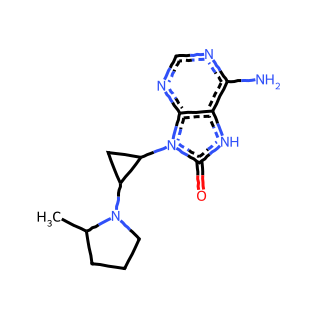 CC1CCCN1C1CC1n1c(=O)[nH]c2c(N)ncnc21